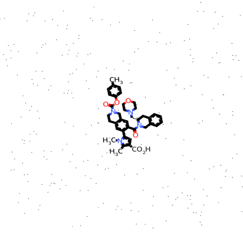 Cc1ccc(OC(=O)N2CCc3cc(-c4cc(C(=O)O)c(C)n4C)c(C(=O)N4Cc5ccccc5C[C@H]4CN4CCOCC4)cc3C2)cc1